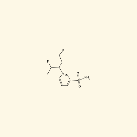 NS(=O)(=O)c1cccc(C(CCF)C(F)F)c1